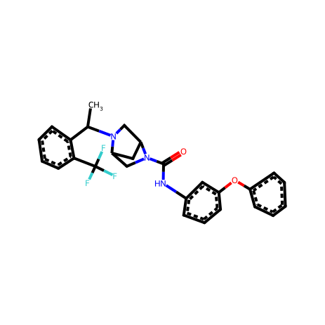 CC(c1ccccc1C(F)(F)F)N1CC2CC1CN2C(=O)Nc1cccc(Oc2ccccc2)c1